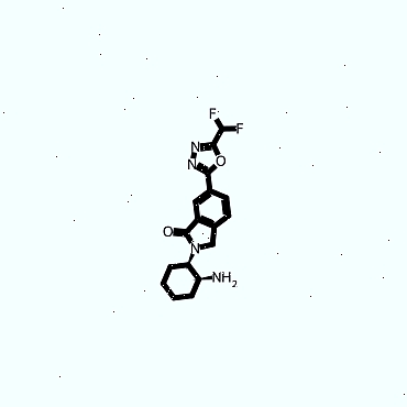 N[C@H]1CCCC[C@H]1N1Cc2ccc(-c3nnc(C(F)F)o3)cc2C1=O